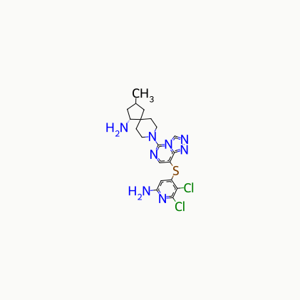 CC1C[C@@H](N)C2(CCN(c3ncc(Sc4cc(N)nc(Cl)c4Cl)c4nncn34)CC2)C1